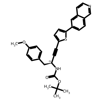 COc1ccc(C[C@@H](C#Cc2ccc(-c3ccc4cnccc4c3)s2)NC(=O)OC(C)(C)C)cc1